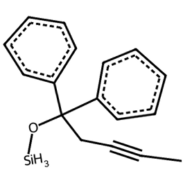 CC#CCC(O[SiH3])(c1ccccc1)c1ccccc1